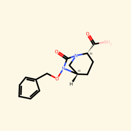 BC(=O)[C@@H]1CC[C@H]2CN1C(=O)N2OCc1ccccc1